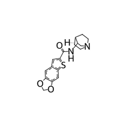 O=C(N[C@@H]1CN2CCC1CC2)c1cc2cc3c(cc2s1)OCO3